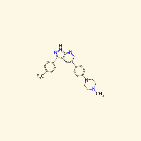 CN1CCN(c2ccc(-c3cnc4[nH]nc(-c5ccc(C(F)(F)F)cc5)c4c3)cc2)CC1